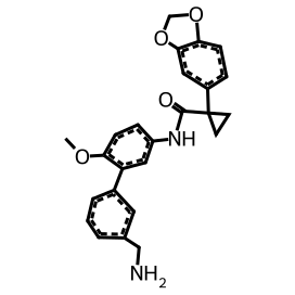 COc1ccc(NC(=O)C2(c3ccc4c(c3)OCO4)CC2)cc1-c1cccc(CN)c1